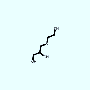 N#CCCSCC(O)CO